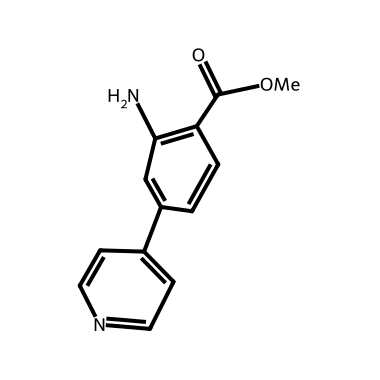 COC(=O)c1ccc(-c2ccncc2)cc1N